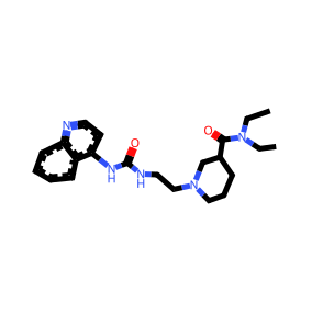 CCN(CC)C(=O)C1CCCN(CCNC(=O)Nc2ccnc3ccccc23)C1